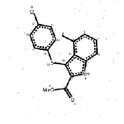 COC(=O)c1[nH]c2cccc(C)c2c1Sc1ccc(Cl)cc1